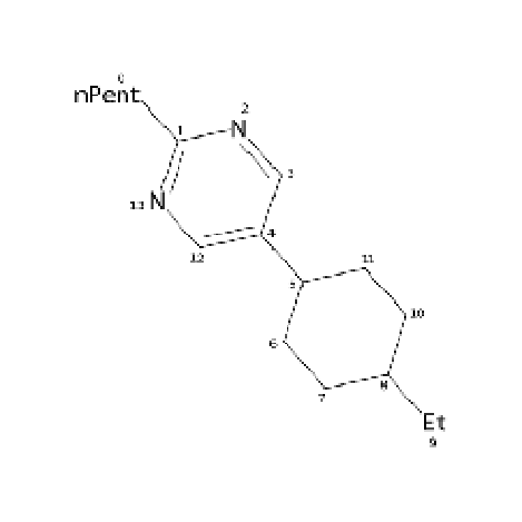 CCCCCc1ncc(C2CCC(CC)CC2)cn1